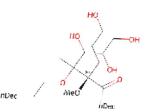 CCCCCCCCCCCCOC(C)(C(O)C(O)CO)[C@@](CCCO)(OC)C(=O)CCCCCCCCCC